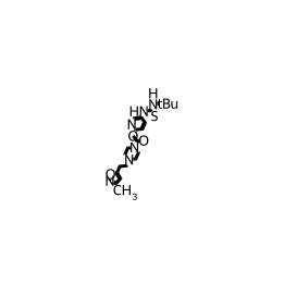 Cc1cc(CCN2CCN(C(=O)Oc3ccc(NC(=S)NC(C)(C)C)cn3)CC2)on1